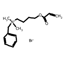 C=CC(=O)OCCCC[N+](C)(C)Cc1ccccc1.[Br-]